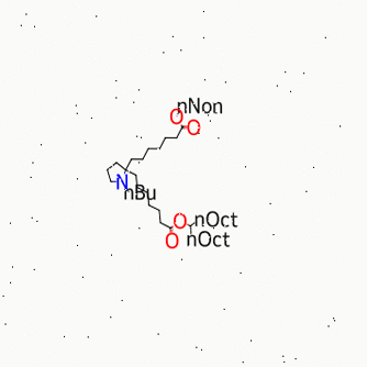 CCCCCCCCCOC(=O)CCCCCCC1(CCCCCCC(=O)OC(CCCCCCCC)CCCCCCCC)CCCN1CCCC